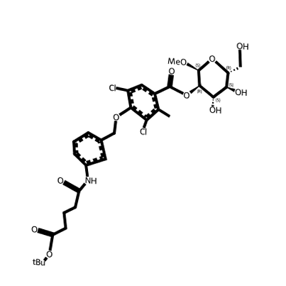 CO[C@H]1O[C@H](CO)[C@@H](O)[C@H](O)[C@H]1OC(=O)c1cc(Cl)c(OCc2cccc(NC(=O)CCCC(=O)OC(C)(C)C)c2)c(Cl)c1C